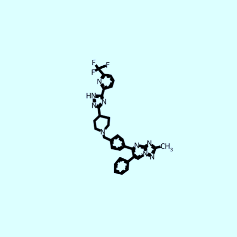 Cc1nc2nc(-c3ccc(CN4CCC(c5n[nH]c(-c6cccc(C(F)(F)F)n6)n5)CC4)cc3)c(-c3ccccc3)cn2n1